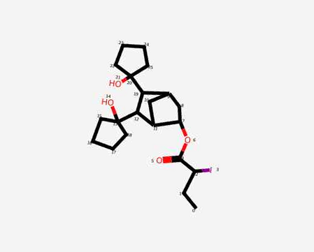 CCC(I)C(=O)OC1CC2CC1C(C1(O)CCCC1)C2C1(O)CCCC1